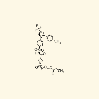 CCC(=O)OCO/N=[N+](/[O-])N1CC(C(=O)NS(=O)(=O)c2ccc(-n3nc(C(F)(F)F)cc3-c3ccc(C)cc3)cc2)C1